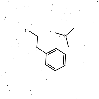 CN(C)C.ClCCc1ccccc1